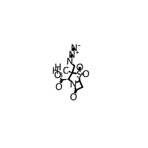 C[C@]1(CN=[N+]=[N-])[C@H](C(=O)O)N2C(=O)CC2S1(=O)=O